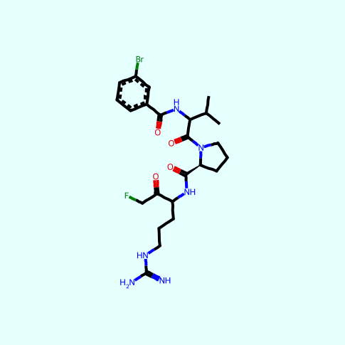 CC(C)C(NC(=O)c1cccc(Br)c1)C(=O)N1CCC[C@H]1C(=O)NC(CCCNC(=N)N)C(=O)CF